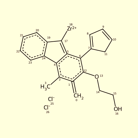 C=c1c(C)c2c(c(C3=CC=CC3)c1OCCO)=[C]([Zr+2])c1ccccc1-2.[Cl-].[Cl-]